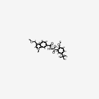 COCc1cn(C)c2cc(C(=O)NS(=O)(=O)c3cc(C(C)(C)C)ccc3OC)ccc12